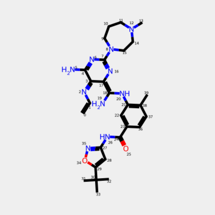 C=C/N=C1/C(N)=NC(N2CCCN(C)CC2)=N/C1=C(/N)Nc1cc(C(=O)Nc2cc(C(C)(C)C)on2)ccc1C